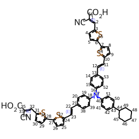 N#C/C(=C\c1ccc(-c2ccc(/C=C/c3ccc(N(c4ccc(/C=C/c5ccc(-c6ccc(/C=C(\C#N)C(=O)O)s6)s5)cc4)c4ccc(C5CCCCC5)cc4)cc3)s2)s1)C(=O)O